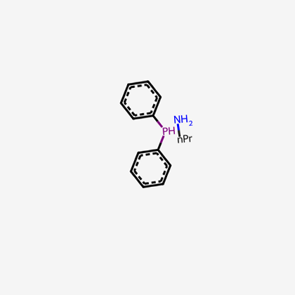 CCCN.c1ccc(Pc2ccccc2)cc1